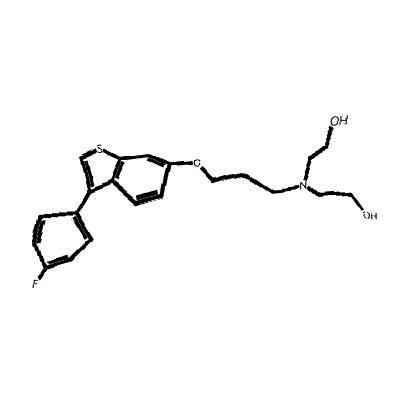 OCCN(CCO)CCCOc1ccc2c(-c3ccc(F)cc3)csc2c1